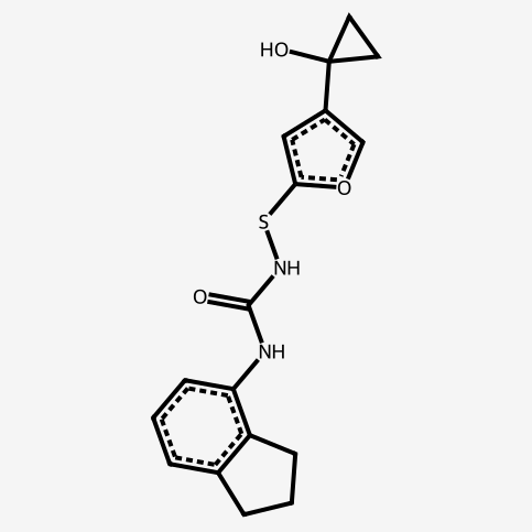 O=C(NSc1cc(C2(O)CC2)co1)Nc1cccc2c1CCC2